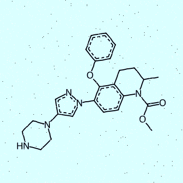 COC(=O)N1c2ccc(-n3cc(N4CCNCC4)cn3)c(Oc3ccccc3)c2CCC1C